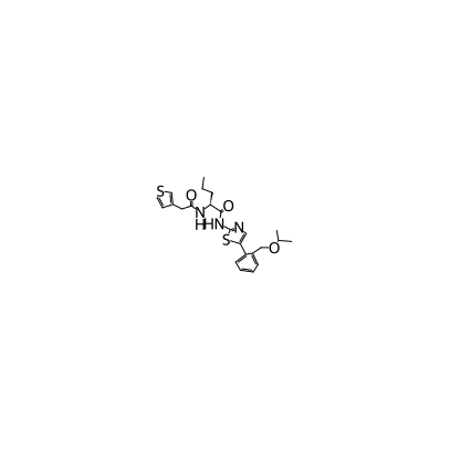 CCC[C@H](NC(=O)Cc1ccsc1)C(=O)Nc1ncc(-c2ccccc2COC(C)C)s1